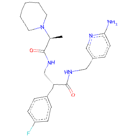 C[C@@H](C(=O)NC[C@H](C(=O)NCc1ccc(N)nc1)c1ccc(F)cc1)N1CCCCC1